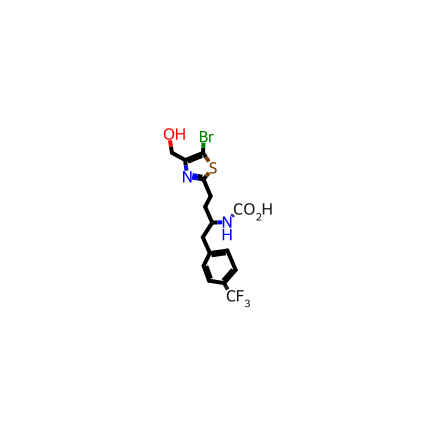 O=C(O)NC(CCc1nc(CO)c(Br)s1)Cc1ccc(C(F)(F)F)cc1